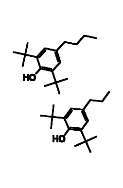 CCCCc1cc(C(C)(C)C)c(O)c(C(C)(C)C)c1.CCCc1cc(C(C)(C)C)c(O)c(C(C)(C)C)c1